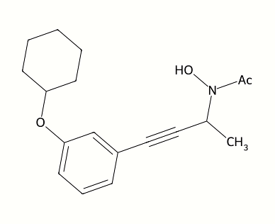 CC(=O)N(O)C(C)C#Cc1cccc(OC2CCCCC2)c1